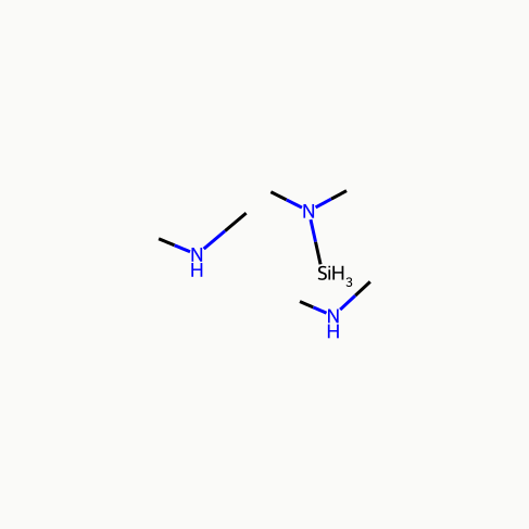 CN(C)[SiH3].CNC.CNC